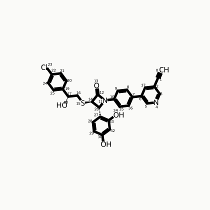 C#Cc1cncc(-c2ccc(N3C(=O)[C@H](SC[C@H](O)c4ccc(Cl)cc4)[C@H]3c3ccc(O)cc3O)cc2)c1